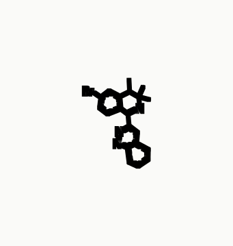 CC1c2cc(Br)ccc2C(c2cc3ccccc3nn2)=NC1(C)C